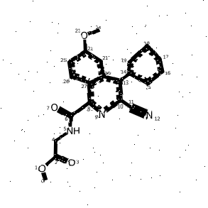 COC(=O)CNC(=O)c1nc(C#N)c(-c2ccccc2)c2cc(OC)ccc12